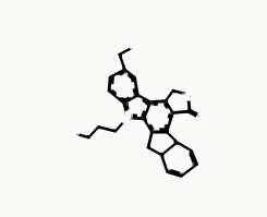 O=C1NCc2c1c1c(c3c2c2cc(CO)ccc2n3CCCO)CC2C=CC=CC12